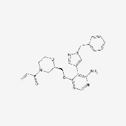 C=CC(=O)N1CCO[C@@H](COc2ncnc(N)c2-c2cnn(Cc3ccccc3)c2)C1